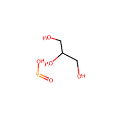 O=PO.OCC(O)CO